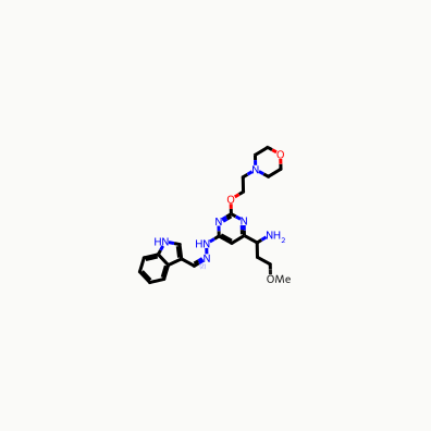 COCCC(N)c1cc(N/N=C\c2c[nH]c3ccccc23)nc(OCCN2CCOCC2)n1